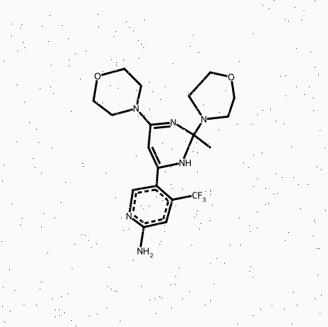 CC1(N2CCOCC2)N=C(N2CCOCC2)C=C(c2cnc(N)cc2C(F)(F)F)N1